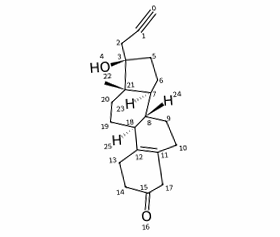 C#CC[C@]1(O)CC[C@H]2[C@@H]3CCC4=C(CCC(=O)C4)[C@H]3CC[C@@]21C